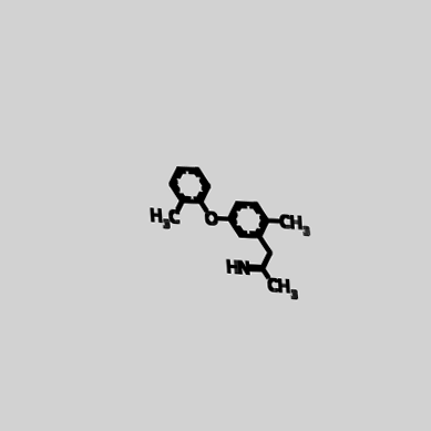 CC(=N)Cc1cc(Oc2ccccc2C)ccc1C